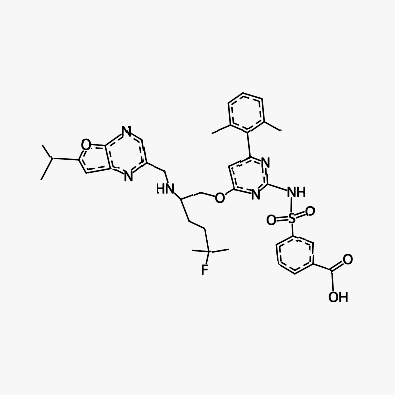 Cc1cccc(C)c1-c1cc(OCC(CCC(C)(C)F)NCc2cnc3oc(C(C)C)cc3n2)nc(NS(=O)(=O)c2cccc(C(=O)O)c2)n1